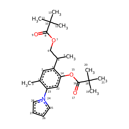 Cc1cc(C(C)COC(=O)C(C)(C)C)c(OC(=O)C(C)(C)C)cc1-n1cccc1